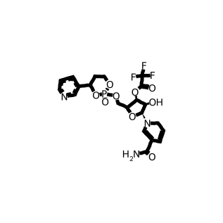 NC(=O)C1=CN([C@@H]2OC(COP3(=O)OCCC(c4cccnc4)O3)[C@@H](OC(=O)C(F)(F)F)[C@H]2O)CC=C1